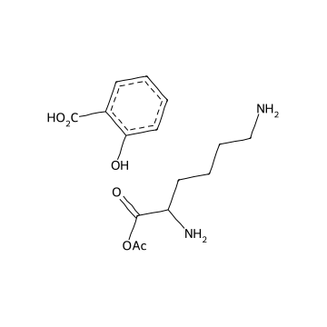 CC(=O)OC(=O)C(N)CCCCN.O=C(O)c1ccccc1O